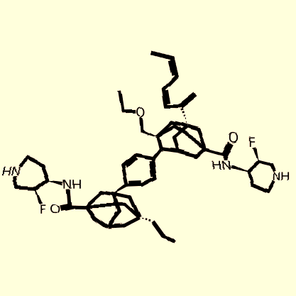 C=C(/C=C\C=C/C)[C@@]12CC3CC(C(=O)N[C@@H]4CCNC[C@@H]4F)(C1)C[C@@](COCC)(C2)C3c1ccc([C@]23CC4CC(C(=O)N[C@@H]5CCNC[C@@H]5F)(C[C@](CCC)(C4)C2)C3)cc1